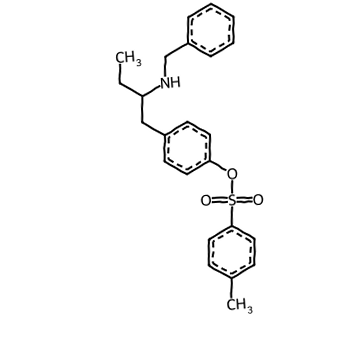 CCC(Cc1ccc(OS(=O)(=O)c2ccc(C)cc2)cc1)NCc1ccccc1